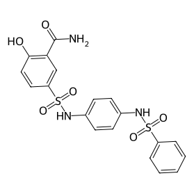 NC(=O)c1cc(S(=O)(=O)Nc2ccc(NS(=O)(=O)c3ccccc3)cc2)ccc1O